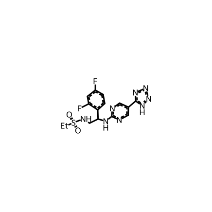 CCS(=O)(=O)NCC(Nc1ncc(-c2nnn[nH]2)cn1)c1ccc(F)cc1F